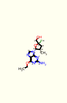 CCOc1nc(N)nc2c1ncn2[C@@H]1O[C@](F)(CO)C[C@@H]1C